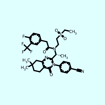 CCS(=O)(=O)CCN(C(=O)Cc1ccc(F)c(C(F)(F)F)c1)[C@H](C)c1nc2c(c(=O)n1-c1ccc(C#N)cc1)CCC(C)(C)C2